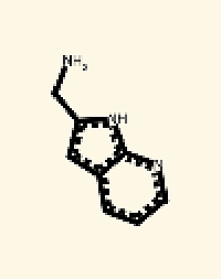 NCc1cc2cccnc2[nH]1